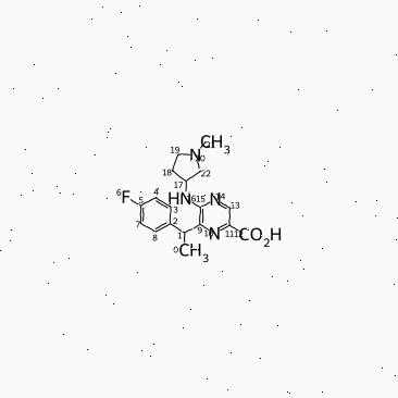 CC(c1ccc(F)cc1)c1nc(C(=O)O)cnc1NC1CCN(C)C1